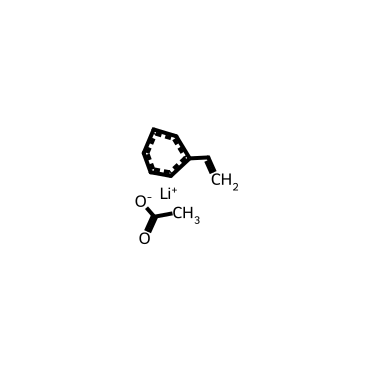 C=Cc1ccccc1.CC(=O)[O-].[Li+]